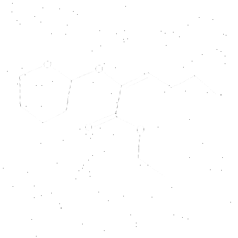 CCCC=C(OC1CCCCO1)C(=O)OCC